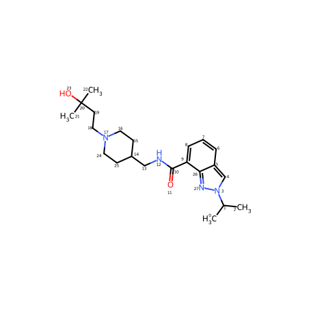 CC(C)n1cc2cccc(C(=O)NCC3CCN(CCC(C)(C)O)CC3)c2n1